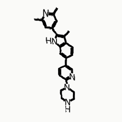 Cc1cc(-c2[nH]c3cc(-c4ccc(N5CCNCC5)nc4)ccc3c2C)cc(C)n1